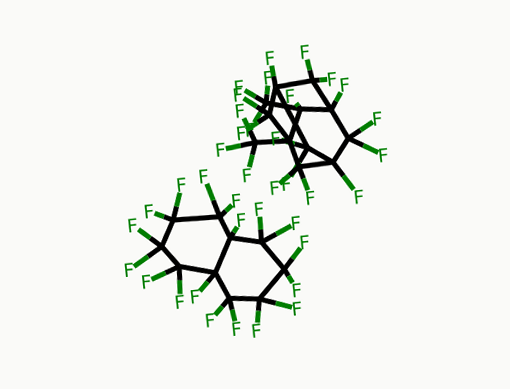 FC(F)(F)C1(F)C2(F)C(F)(F)C3(F)C(F)(F)C(F)(C2(F)F)C(F)(F)C1(C(F)(F)F)C3(F)F.FC1(F)C(F)(F)C(F)(F)C2(F)C(F)(F)C(F)(F)C(F)(F)C(F)(F)C2(F)C1(F)F